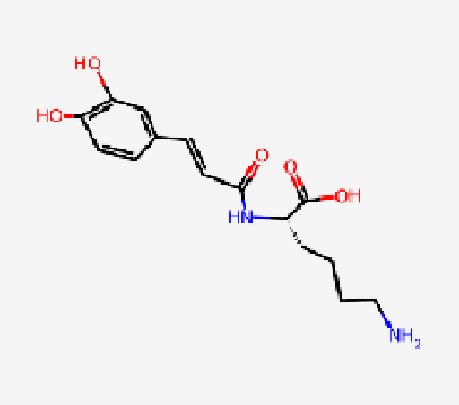 NCCCC[C@H](NC(=O)/C=C/c1ccc(O)c(O)c1)C(=O)O